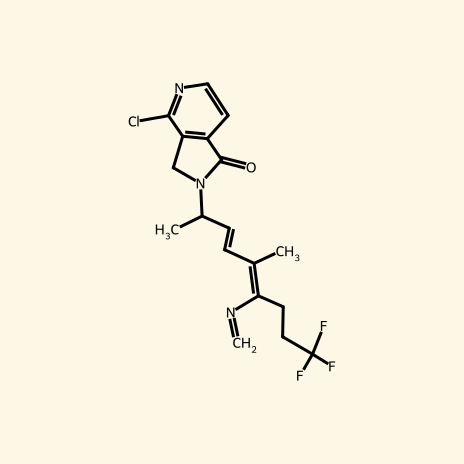 C=N/C(CCC(F)(F)F)=C(C)\C=C\C(C)N1Cc2c(ccnc2Cl)C1=O